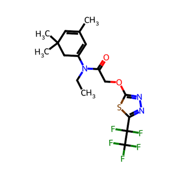 CCN(C(=O)COc1nnc(C(F)(F)C(F)(F)F)s1)C1=CC(C)=CC(C)(C)C1